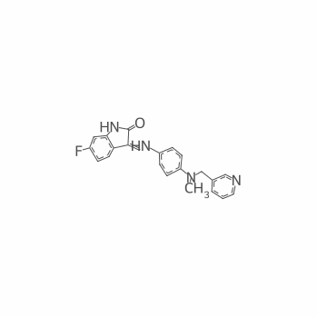 CN(Cc1cccnc1)c1ccc(NC=C2C(=O)Nc3cc(F)ccc32)cc1